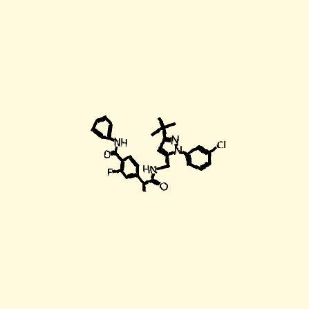 CC(C(=O)NCc1cc(C(C)(C)C)nn1-c1cccc(Cl)c1)c1ccc(C(=O)Nc2ccccc2)c(F)c1